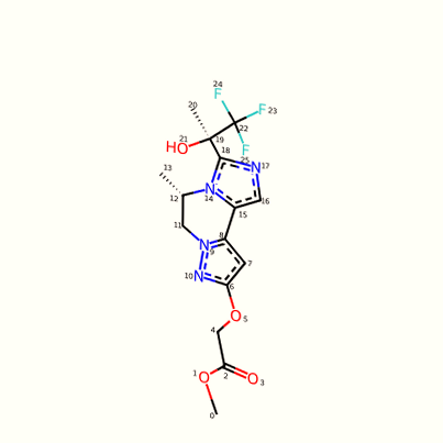 COC(=O)COc1cc2n(n1)C[C@H](C)n1c-2cnc1[C@@](C)(O)C(F)(F)F